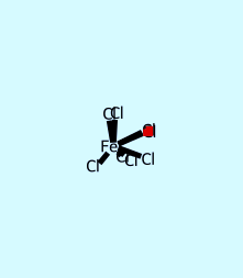 [Cl][Fe]([Cl])([Cl])([Cl])([Cl])([Cl])([Cl])[Cl]